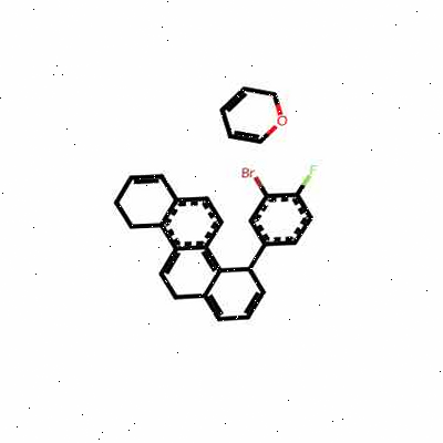 C1=CCOC=C1.Fc1ccc(C2C=CC=C3CC=c4c5c(ccc4=C32)C=CCC5)cc1Br